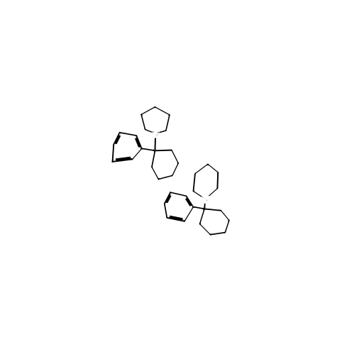 c1ccc(C2(N3CCCCC3)CCCCC2)cc1.c1ccc(C2(N3CCCCC3)CCCCC2)cc1